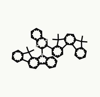 CC1(C)c2ccccc2-c2c1ccc1c2-c2cccc(-c3nc4ccccc4nc3-n3c4ccccc4c4ccc5c(c43)C(C)(C)c3ccccc3-5)c2C1(C)C